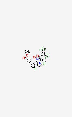 CCOC(=O)[C@H]1CC[C@H](c2ccc(F)c(-c3ccc(Cl)nc3CN3C(=O)O[C@H](c4cc(C(F)(F)F)cc(C(F)(F)F)c4)[C@@H]3C)c2)CC1